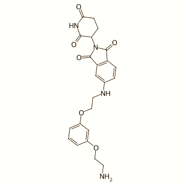 NCCOc1cccc(OCCNc2ccc3c(c2)C(=O)N(C2CCC(=O)NC2=O)C3=O)c1